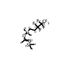 CC(=N[Si](C)(C)C)O[Si](C)(C)CCC(F)(F)C(F)(F)C(F)(F)F